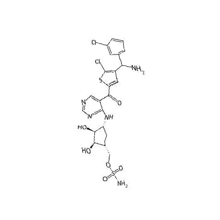 NC(c1cccc(Cl)c1)c1cc(C(=O)c2cncnc2N[C@@H]2C[C@H](COS(N)(=O)=O)[C@@H](O)[C@H]2O)sc1Cl